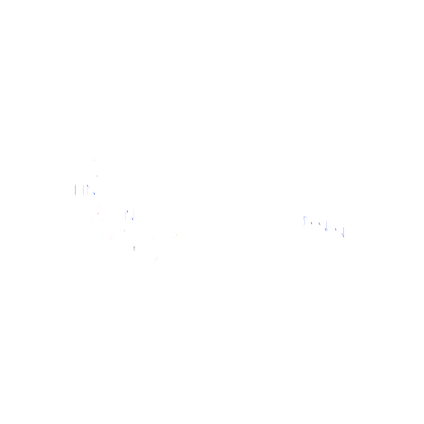 [N-]=[N+]=NCCCCCCCCCSc1cccc2c1CN(C1CCC(=O)NC1=O)C2=O